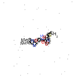 COc1cc2nccc(Oc3ccc(NC(=O)c4c5n(cc(-c6ccc(C)s6)c4=O)CCOC5)cc3)c2nc1OC